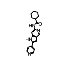 O=C(Nc1cc2[nH]c(-c3ccncc3)cc2cn1)C1CCCCC1